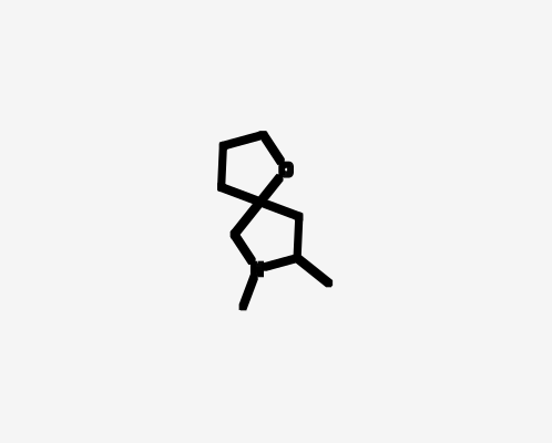 CC1CC2(CCCO2)CN1C